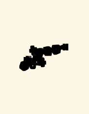 CC(C)(C)OC(=O)C(CCn1nnc2ccccc2c1=O)(CC(=O)c1ccc(-c2ccc(C#N)cc2)cc1)C(=O)OC(C)(C)C